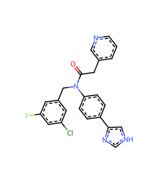 O=C(Cc1cccnc1)N(Cc1cc(F)cc(Cl)c1)c1ccc(-c2c[nH]cn2)cc1